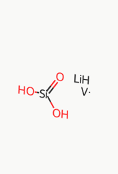 O=[Si](O)O.[LiH].[V]